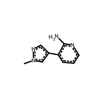 Cn1cc(-c2cccnc2N)cn1